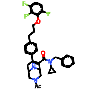 CC(=O)N1CC2CC(c3ccc(CCCOc4c(F)ccc(F)c4F)cc3)=C(C(=O)N(Cc3ccccc3)C3CC3)C(C1)N2